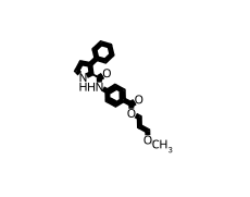 COCCCOC(=O)c1ccc(NC(=O)[C@H]2NCCC2C2CCCCC2)cc1